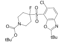 CC(C)(C)OC(=O)N1CCC(F)(S(=O)(=O)c2c(Cl)ccc3nc(C(C)(C)C)oc23)CC1